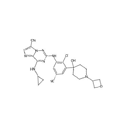 N#Cc1cc(Nc2nc(NC3CC3)c3ncc(C#N)n3n2)c(Cl)c(C2(O)CCN(C3COC3)CC2)c1